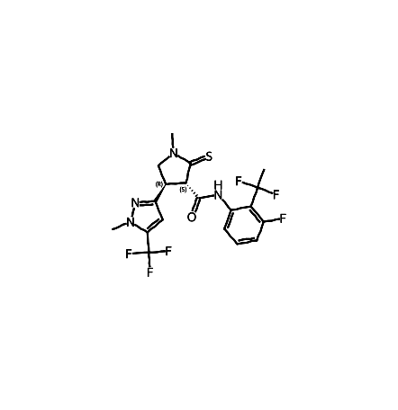 CN1C[C@H](c2cc(C(F)(F)F)n(C)n2)[C@@H](C(=O)Nc2cccc(F)c2C(C)(F)F)C1=S